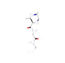 Cc1nc(Cl)cnc1C(=O)NCC(=O)NCC(F)(F)F